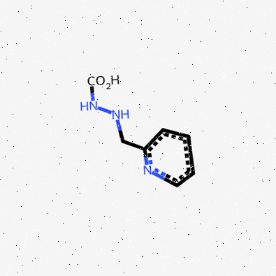 O=C(O)NNCc1ccccn1